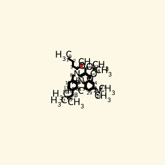 CCCCC(CC)N(Cc1ccc(CC(C)(C)C)cc1)C(Nc1ccc(N(C)C)cc1C)=C1C(=O)OC(C)(C)OC1=O